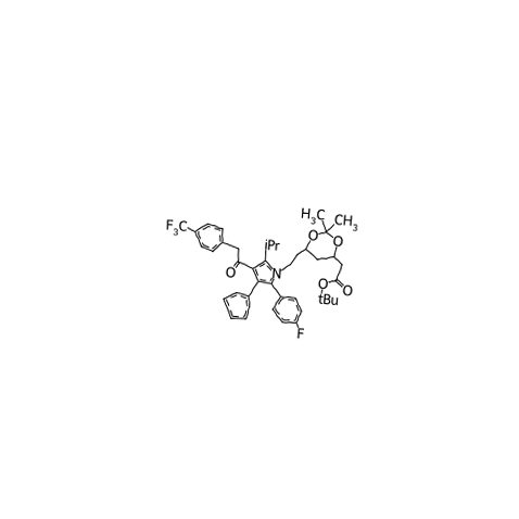 CC(C)c1c(C(=O)Cc2ccc(C(F)(F)F)cc2)c(-c2ccccc2)c(-c2ccc(F)cc2)n1CCC1CC(CC(=O)OC(C)(C)C)OC(C)(C)O1